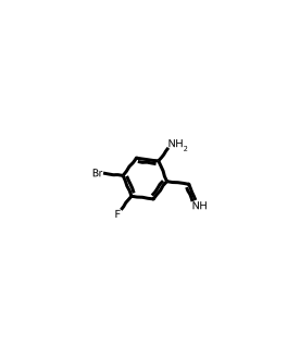 N=Cc1cc(F)c(Br)cc1N